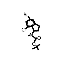 CN(C(=O)OC(C)(C)C)C1CCc2cc(Br)cc(Cl)c21